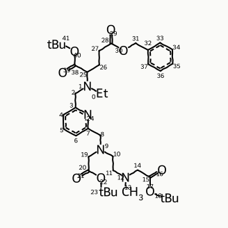 CCN(Cc1cccc(CN(CCN(C)CC(=O)OC(C)(C)C)CC(=O)OC(C)(C)C)n1)C(CCC(=O)OCc1ccccc1)C(=O)OC(C)(C)C